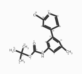 Cc1cc(NC(=O)OC(C)(C)C)cc(-c2ccnc(Cl)c2)c1